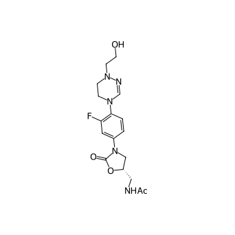 CC(=O)NC[C@H]1CN(c2ccc(N3C=NN(CCO)CC3)c(F)c2)C(=O)O1